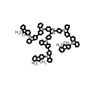 CC1(C)c2ccccc2-c2ccc(-n3c4ccccc4c4ccc(-c5ccc6c(c5)c5ccccc5n6-c5ccc(-c6nc(-c7ccc(-n8c9ccccc9c9cc(-c%10ccc%11c%12ccccc%12n(-c%12ccc%13c(c%12)C(C)(C)c%12ccccc%12-%13)c%11c%10)ccc98)cc7)c7cc(-n8c9ccccc9c9cc(-c%10ccc%11c%12ccccc%12n(-c%12ccc%13c(c%12)C(C)(C)c%12ccccc%12-%13)c%11c%10)ccc98)ccc7n6)cc5)cc43)cc21